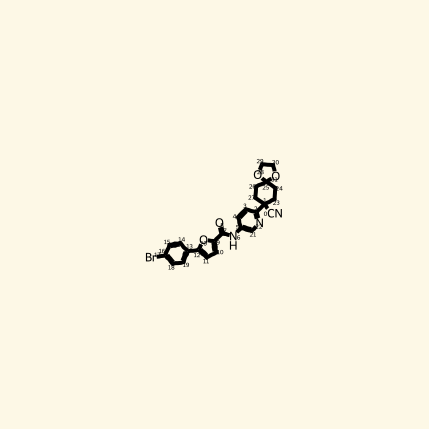 N#CC1(c2ccc(NC(=O)c3ccc(-c4ccc(Br)cc4)o3)cn2)CCC2(CC1)OCCO2